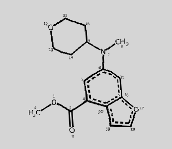 COC(=O)c1cc(N(C)C2CCOCC2)cc2occc12